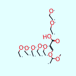 [CH2]C(OC)OC=CC(=O)O.[CH2]C[O].[CH2]C[O].[CH2]C[O].[CH2]C[O].[CH2]C[O].[CH2]C[O].[CH2]C[O]